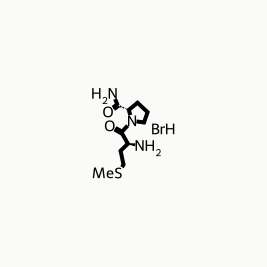 Br.CSCC[C@H](N)C(=O)N1CCC[C@H]1C(N)=O